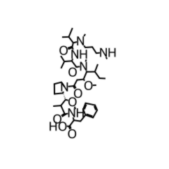 CCC(C)C(C(CC(=O)N1CCC[C@H]1C(OC)C(C)C(=O)NC(Cc1ccccc1)C(=O)O)OC)N(C)C(=O)C(NC(=O)C(C(C)C)N(C)CCCNC)C(C)C